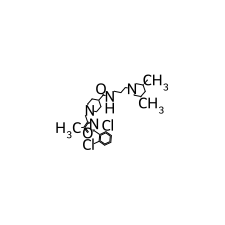 Cc1oc(-c2c(Cl)cccc2Cl)nc1CN1CCC(C(=O)NCCCN2C[C@H](C)C[C@H](C)C2)CC1